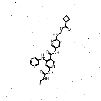 CCNC(=O)Nc1cc(Nc2cccnc2)c(C(=O)Nc2ccc(NCOC(=O)C3CCC3)nc2)cn1